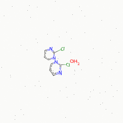 Clc1ncccn1.Clc1ncccn1.O